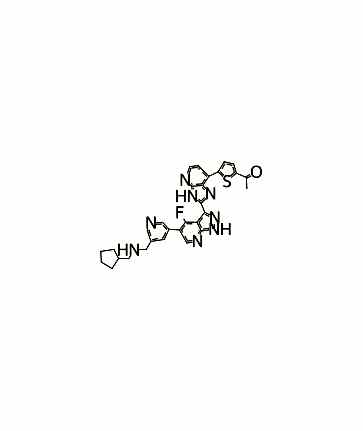 CC(=O)c1ccc(-c2ccnc3[nH]c(-c4n[nH]c5ncc(-c6cncc(CNCC7CCCC7)c6)c(F)c45)nc23)s1